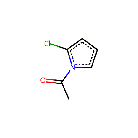 CC(=O)n1cccc1Cl